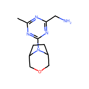 Cc1nc(CN)nc(N2C3CCC2COC3)n1